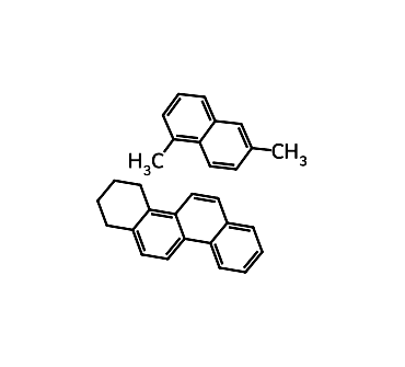 Cc1ccc2c(C)cccc2c1.c1ccc2c(c1)ccc1c3c(ccc12)CCCC3